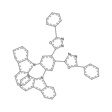 c1ccc(-c2nnc(-c3cc(-n4c5ccccc5c5ccccc54)c(-n4c5ccccc5c5ccccc54)cc3-c3nnc(-c4ccccc4)o3)o2)cc1